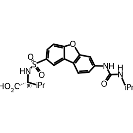 CC(C)NC(=O)Nc1ccc2c(c1)oc1ccc(S(=O)(=O)N[C@@H](C(=O)O)C(C)C)cc12